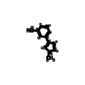 Cn1nnc(-c2cncc(O)c2)n1